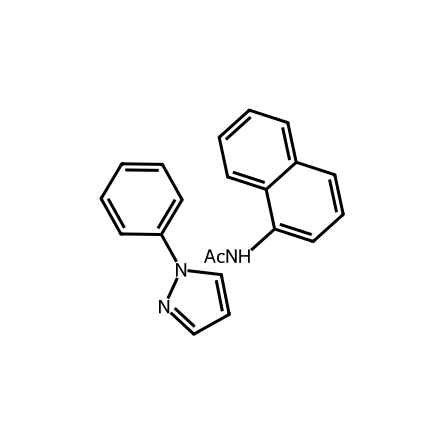 CC(=O)Nc1cccc2ccccc12.c1ccc(-n2cccn2)cc1